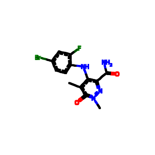 Cc1c(Nc2ccc(Br)cc2F)c(C(N)=O)nn(C)c1=O